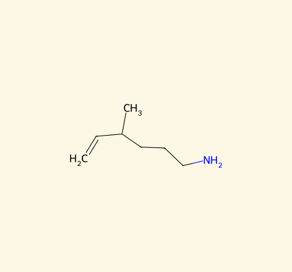 C=CC(C)CCCN